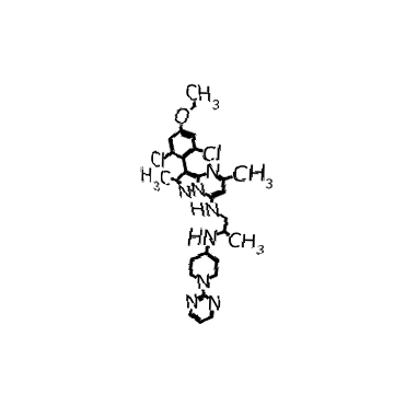 CCOc1cc(Cl)c(-c2c(C)nn3c(NCC(C)NC4CCN(c5ncccn5)CC4)cc(C)nc23)c(Cl)c1